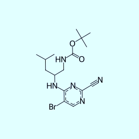 CC(C)CC(CNC(=O)OC(C)(C)C)Nc1nc(C#N)ncc1Br